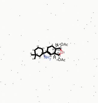 CC(=O)O[C@H]1O[C@@H](OC(C)=O)[C@@H]2CCC([C@]3(N)CCCC(C)(C)C3)=C[C@H]12